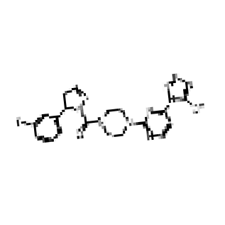 O=C(N1CCN(c2nccc(-n3nnnc3C(F)(F)F)n2)CC1)N1N=CCC1c1cccc(F)c1